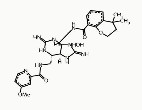 COc1ccnc(C(=O)NC[C@@H]2NC(=N)N3CC(NC(=O)c4cccc5c4OCCC5(C)C)[C@@H](O)C34NC(=N)N[C@@H]24)c1